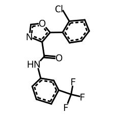 O=C(Nc1cccc(C(F)(F)F)c1)c1ncoc1-c1ccccc1Cl